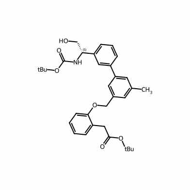 Cc1cc(COc2ccccc2CC(=O)OC(C)(C)C)cc(-c2cccc([C@@H](CO)NC(=O)OC(C)(C)C)c2)c1